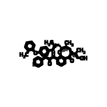 Cc1ccccc1Oc1ccc(CN(C)C[C@H]2Oc3c(NC(=O)Cc4ccncc4)cccc3C(=O)N([C@@H](C)CO)C[C@H]2C)cc1